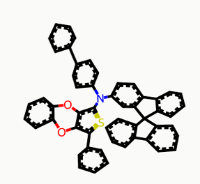 c1ccc(-c2ccc(N(c3ccc4c(c3)C3(c5ccccc5-c5ccccc53)c3ccccc3-4)c3sc(-c4ccccc4)c4c3Oc3ccccc3O4)cc2)cc1